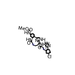 COC(=O)Nc1ccc2c(c1)NC(=O)/C=C/CC[C@H](NC(=O)/C=C/c1cc(Cl)ccc1-n1cnnn1)c1nc-2c[nH]1